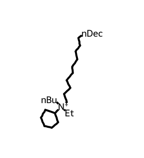 CCCCCCCCCCCCCCCCCCCC[N+](CC)(CCCC)C1CCCCC1